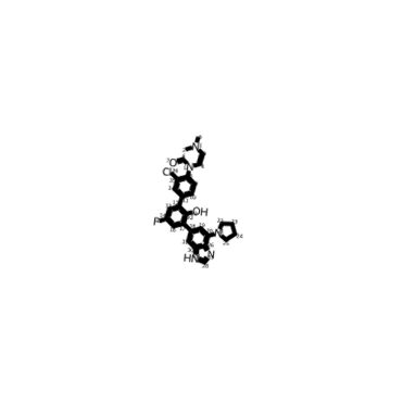 CN(C)/C=C\N(C=O)c1ccc(-c2cc(F)cc(-c3cc(N4CCCC4)c4nc[nH]c4c3)c2O)cc1Cl